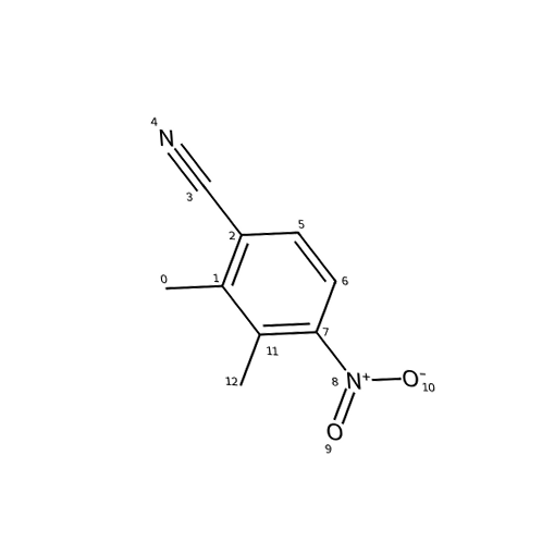 Cc1c(C#N)ccc([N+](=O)[O-])c1C